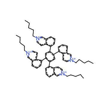 CCCCC[n+]1ccc2c(-c3cc(-c4cccc5c[n+](CCCCC)ccc45)c(-c4cccc5c[n+](CCCCC)ccc45)cc3-c3cccc4c[n+](CCCCC)ccc34)cccc2c1